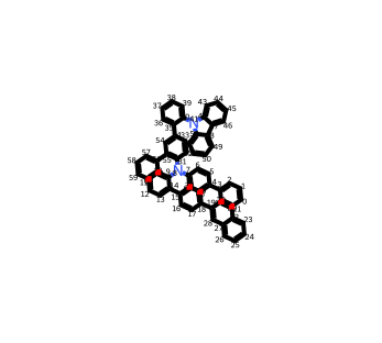 c1ccc(-c2ccc(N(c3ccccc3-c3ccc(-c4ccc5ccccc5c4)cc3)c3ccc(-c4ccccc4-n4c5ccccc5c5ccccc54)cc3-c3ccccc3)cc2)cc1